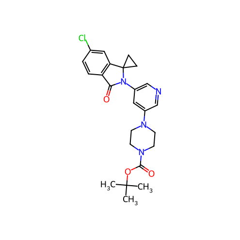 CC(C)(C)OC(=O)N1CCN(c2cncc(N3C(=O)c4ccc(Cl)cc4C34CC4)c2)CC1